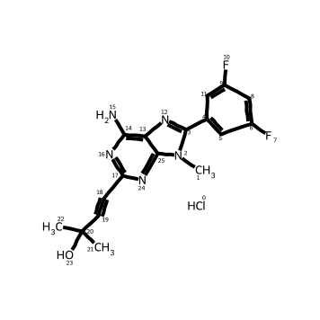 Cl.Cn1c(-c2cc(F)cc(F)c2)nc2c(N)nc(C#CC(C)(C)O)nc21